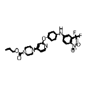 CCCOC(=O)N1CCN(c2ccnc(O[C@H]3CC[C@H](Nc4ccc([N+](=O)[O-])c(C(F)(F)F)c4)CC3)c2)CC1